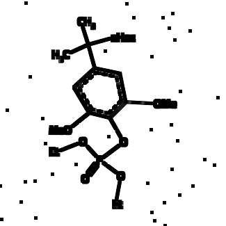 CCCCCCC(C)(C)c1cc(OC)c(OP(=O)(OCC)OCC)c(OC)c1